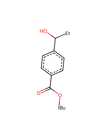 CCC(O)c1ccc(C(=O)OC(C)(C)C)cc1